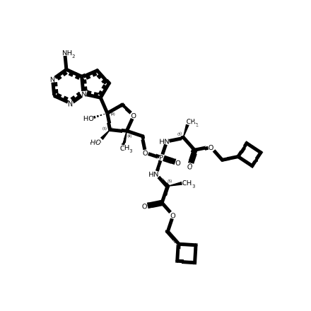 C[C@H](NP(=O)(N[C@@H](C)C(=O)OCC1CCC1)OC[C@@]1(C)OC[C@](O)(c2ccc3c(N)ncnn23)[C@@H]1O)C(=O)OCC1CCC1